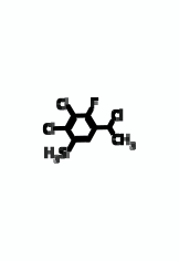 CC(Cl)c1cc([SiH3])c(Cl)c(Cl)c1F